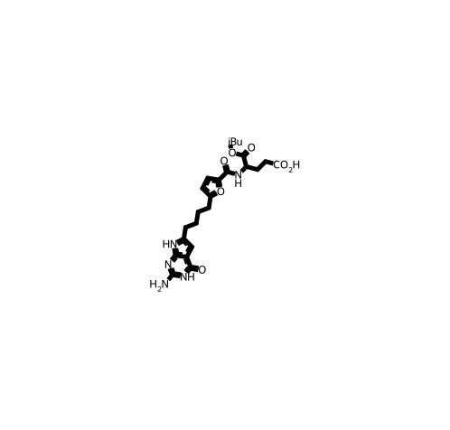 CCC(C)OC(=O)C(CCC(=O)O)NC(=O)c1ccc(CCCCc2cc3c(=O)[nH]c(N)nc3[nH]2)o1